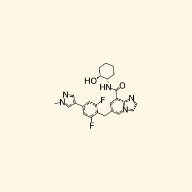 Cn1cc(-c2cc(F)c(Cc3cc(C(=O)N[C@H]4CCCC[C@@H]4O)c4nccn4c3)c(F)c2)cn1